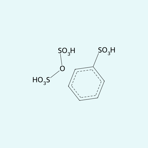 O=S(=O)(O)OS(=O)(=O)O.O=S(=O)(O)c1ccccc1